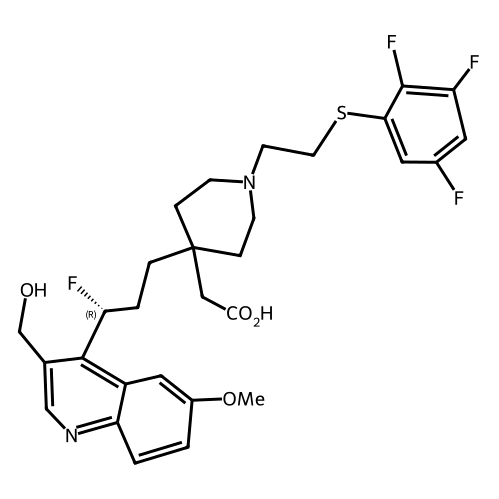 COc1ccc2ncc(CO)c([C@H](F)CCC3(CC(=O)O)CCN(CCSc4cc(F)cc(F)c4F)CC3)c2c1